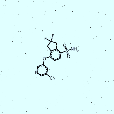 N#Cc1cncc(Oc2ccc(S(N)(=O)=O)c3c2CC(F)(F)C3)c1